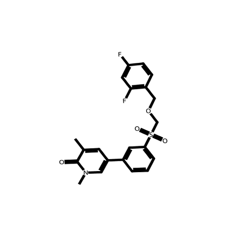 Cc1cc(-c2cccc(S(=O)(=O)COCc3ccc(F)cc3F)c2)cn(C)c1=O